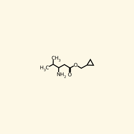 CC(C)C(N)CC(=O)OCC1CC1